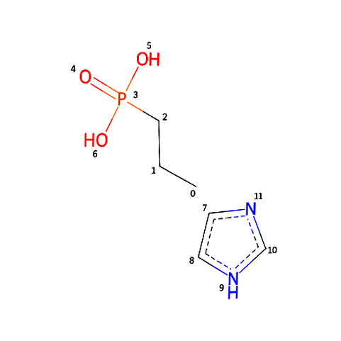 CCCP(=O)(O)O.c1c[nH]cn1